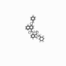 O=C(Nc1cccc2c1C(=O)N(CC1CCCCC1)C2)c1ccc(OCc2ccccc2)c2ccccc12